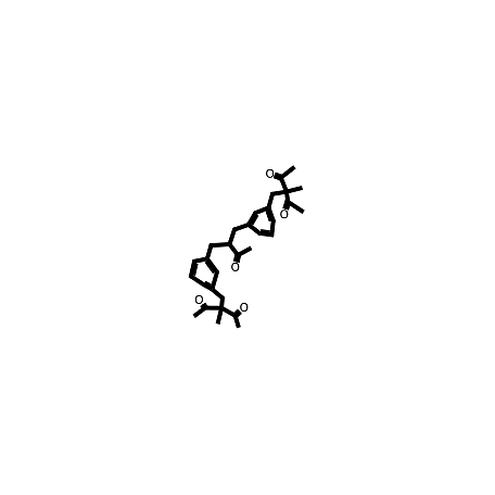 CC(=O)C(Cc1cccc(CC(C)(C(C)=O)C(C)=O)c1)Cc1cccc(CC(C)(C(C)=O)C(C)=O)c1